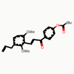 C=CCc1ccc(OC)c(/C=C/C(=O)c2ccc(OC(=O)C(C)(C)C)cc2)c1OC